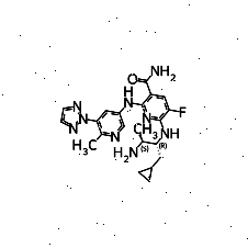 Cc1ncc(Nc2nc(N[C@H](CC3CC3)[C@H](C)N)c(F)cc2C(N)=O)cc1-n1nccn1